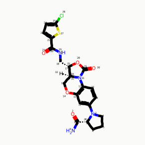 NC(=O)[C@H]1CCCN1c1ccc2c(c1)OC[C@H]1[C@H](CNC(=O)c3ccc(Cl)s3)OC(=O)N21